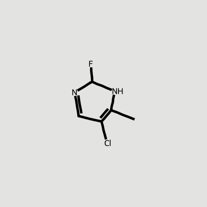 CC1=C(Cl)C=N[C](F)N1